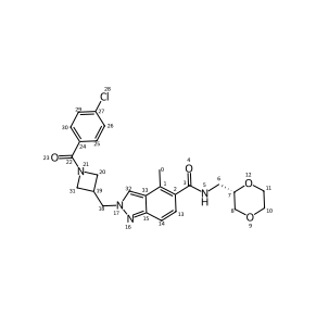 Cc1c(C(=O)NC[C@H]2COCCO2)ccc2nn(CC3CN(C(=O)c4ccc(Cl)cc4)C3)cc12